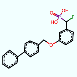 O=P(O)(O)C(F)c1cccc(OCc2ccc(-c3ccccc3)cc2)c1